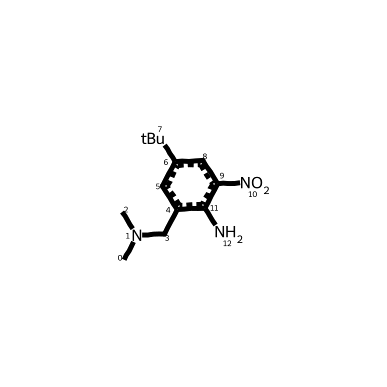 CN(C)Cc1cc(C(C)(C)C)cc([N+](=O)[O-])c1N